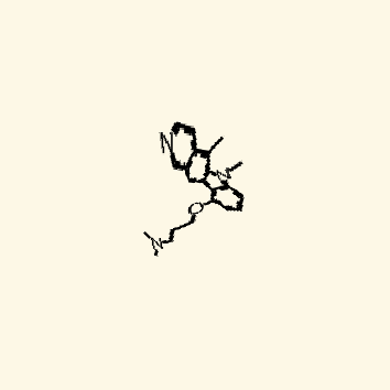 Cc1c2ccncc2cc2c3c(OCCCN(C)C)cccc3n(C)c12